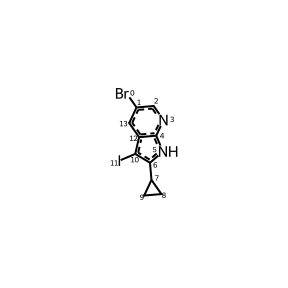 Brc1cnc2[nH]c(C3CC3)c(I)c2c1